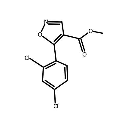 COC(=O)c1cnoc1-c1ccc(Cl)cc1Cl